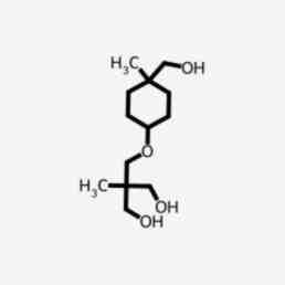 CC1(CO)CCC(OCC(C)(CO)CO)CC1